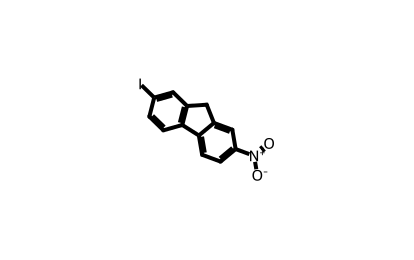 O=[N+]([O-])c1ccc2c(c1)Cc1cc(I)ccc1-2